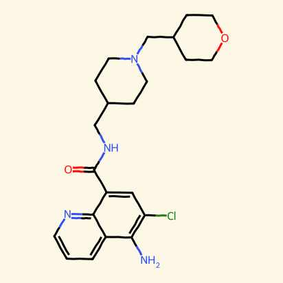 Nc1c(Cl)cc(C(=O)NCC2CCN(CC3CCOCC3)CC2)c2ncccc12